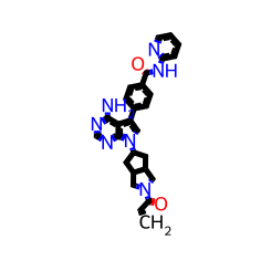 C=CC(=O)N1CC2CC(n3cc(-c4ccc(C(=O)Nc5ccccn5)cc4)c4c(N)ncnc43)CC2C1